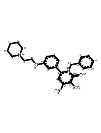 N#Cc1c(C(F)(F)F)cc(-c2cccc(OCCN3CCCCC3)c2)n(Cc2ccccc2)c1=O